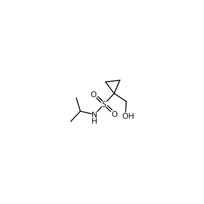 CC(C)NS(=O)(=O)C1(CO)CC1